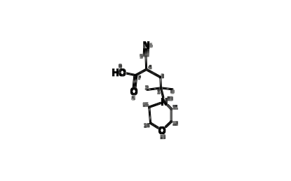 CC(C)(CC(C#N)C(=O)O)N1CCOCC1